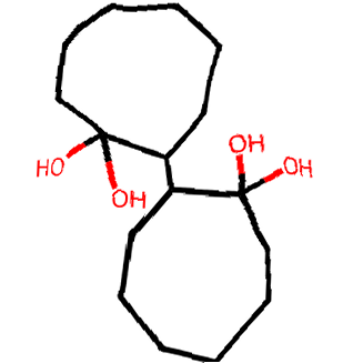 OC1(O)CCCCCCC1C1CCCCCCC1(O)O